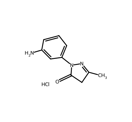 CC1=NN(c2cccc(N)c2)C(=O)C1.Cl